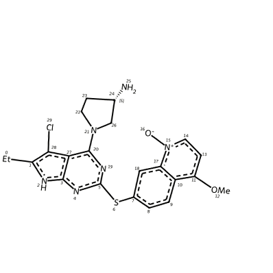 CCc1[nH]c2nc(Sc3ccc4c(OC)cc[n+]([O-])c4c3)nc(N3CC[C@H](N)C3)c2c1Cl